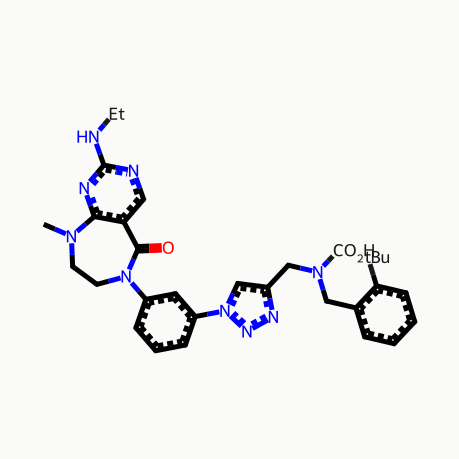 CCNc1ncc2c(n1)N(C)CCN(c1cccc(-n3cc(CN(Cc4ccccc4C(C)(C)C)C(=O)O)nn3)c1)C2=O